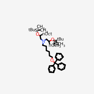 CCCCCCCCC(CN(CCCCCCOC(c1ccccc1)(c1ccccc1)c1ccccc1)CC(CCCCCCCC)O[Si](C)(C)C(C)(C)C)O[Si](C)(C)C(C)(C)C